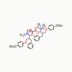 CSc1ccc(OCC(Cc2ccccc2)C(OC(=O)C(=O)OC(C(COc2ccc(SC)cc2)Cc2ccccc2)N(C)C)N(C)C)cc1